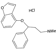 CNCCC(Oc1cccc2occc12)c1ccccc1.Cl